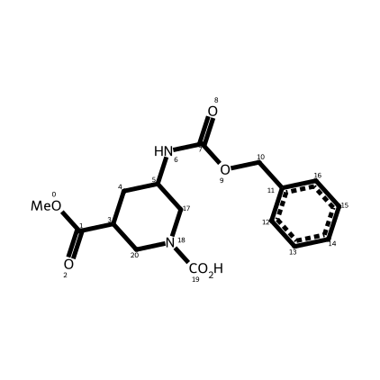 COC(=O)C1CC(NC(=O)OCc2ccccc2)CN(C(=O)O)C1